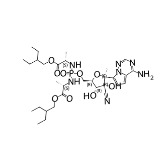 CCC(CC)COC(=O)[C@H](C)NP(=O)(N[C@@H](C)C(=O)OCC(CC)CC)OC[C@H]1O[C@@](C)(c2ccc3c(N)ncnn23)[C@@](O)(C#N)[C@@H]1O